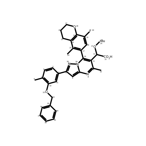 Cc1ccc(-c2cc3nc(C)c(C(OC(C)(C)C)C(=O)O)c(-c4cc(F)c5c(c4C)CCCO5)n3n2)cc1OCc1ccccc1